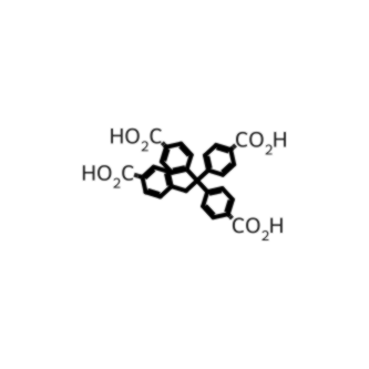 O=C(O)c1ccc(CC(c2ccc(C(=O)O)cc2)(c2ccc(C(=O)O)cc2)c2ccc(C(=O)O)cc2)cc1